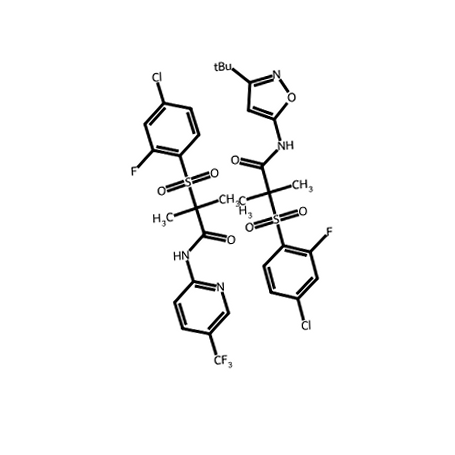 CC(C)(C(=O)Nc1ccc(C(F)(F)F)cn1)S(=O)(=O)c1ccc(Cl)cc1F.CC(C)(C)c1cc(NC(=O)C(C)(C)S(=O)(=O)c2ccc(Cl)cc2F)on1